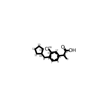 CC(C(=O)O)c1ccc(CC2CCCC2)c(Cl)c1